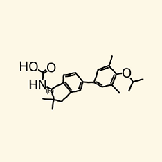 Cc1cc(-c2ccc3c(c2)CC(C)(C)[C@H]3NC(=O)O)cc(C)c1OC(C)C